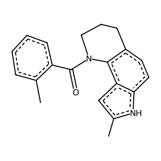 Cc1cc2c3c(ccc2[nH]1)CCCN3C(=O)c1ccccc1C